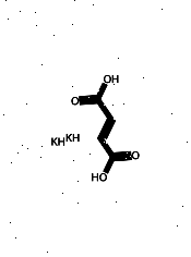 O=C(O)/C=C/C(=O)O.[KH].[KH]